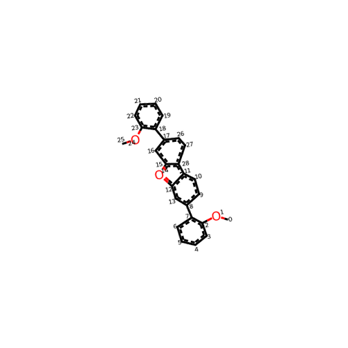 COc1ccccc1-c1ccc2c(c1)oc1cc(-c3ccccc3OC)ccc12